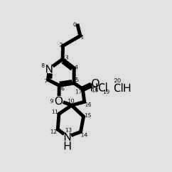 CCCc1cc2c(cn1)OC1(CCNCC1)CC2=O.Cl.Cl